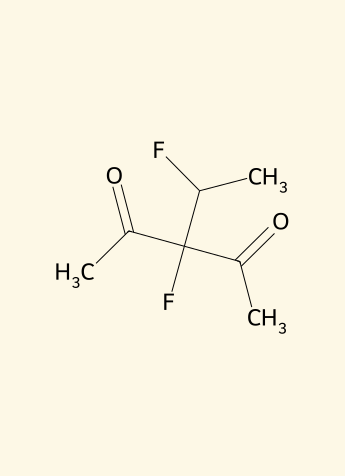 CC(=O)C(F)(C(C)=O)C(C)F